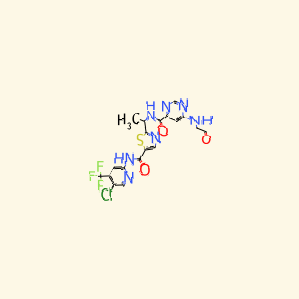 CC(NC(=O)c1cc(NCC=O)ncn1)c1ncc(C(=O)Nc2cc(C(F)(F)F)c(Cl)cn2)s1